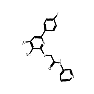 N#Cc1c(C(F)(F)F)cc(-c2ccc(F)cc2)nc1SCC(=O)Nc1cccnc1